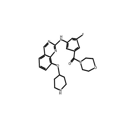 O=C(c1cc(F)cc(Nc2ncc3cccc(OC4CCNCC4)c3n2)c1)N1CCOCC1